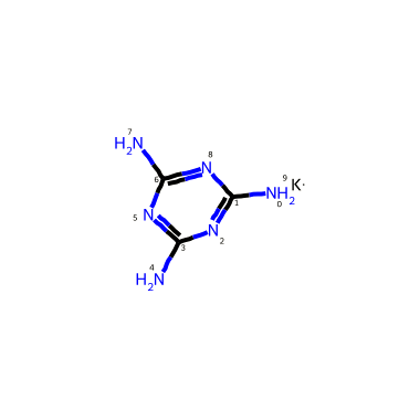 Nc1nc(N)nc(N)n1.[K]